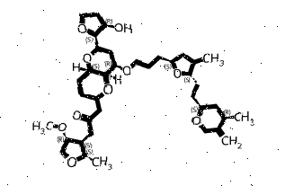 C=C1CO[C@@H](CC[C@@H]2O[C@@H](CCCO[C@@H]3CC([C@H]4OCC[C@H]4O)O[C@H]4CCC(CC(=O)C[C@H]5[C@H](C)OC[C@@H]5OC)O[C@@H]43)CC2C)C[C@H]1C